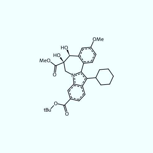 COC(=O)[C@@]1(O)Cn2c(c(C3CCCCC3)c3ccc(C(=O)OC(C)(C)C)cc32)-c2ccc(OC)cc2[C@@H]1O